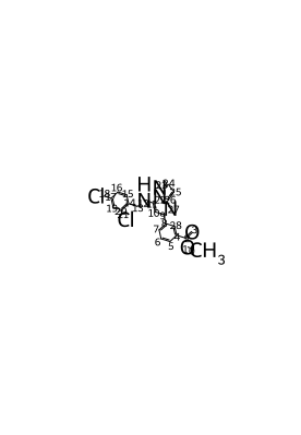 COC(=O)c1cccc(-c2cc(NCc3ccc(Cl)cc3Cl)n3nccc3n2)c1